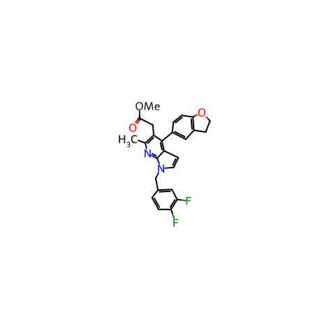 COC(=O)Cc1c(C)nc2c(ccn2Cc2ccc(F)c(F)c2)c1-c1ccc2c(c1)CCO2